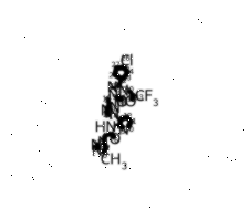 Cc1cn(CC(=O)Nc2ncccc2-n2cnc(Cn3nc(-c4ccc(Cl)cc4)n(C[C@H](O)C(F)(F)F)c3=O)n2)nn1